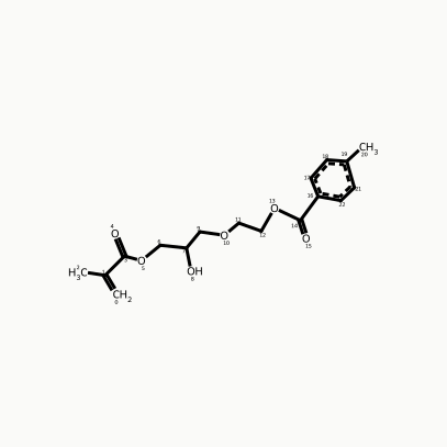 C=C(C)C(=O)OCC(O)COCCOC(=O)c1ccc(C)cc1